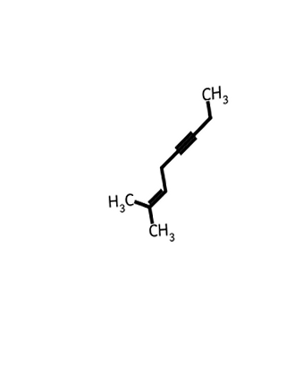 CCC#CCC=C(C)C